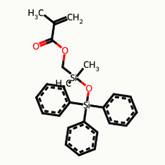 C=C(C)C(=O)OC[Si](C)(C)O[Si](c1ccccc1)(c1ccccc1)c1ccccc1